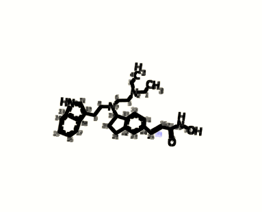 CCN(CC)CCN(CCc1c[nH]c2ccccc12)C1CCc2cc(/C=C/C(=O)NO)ccc21